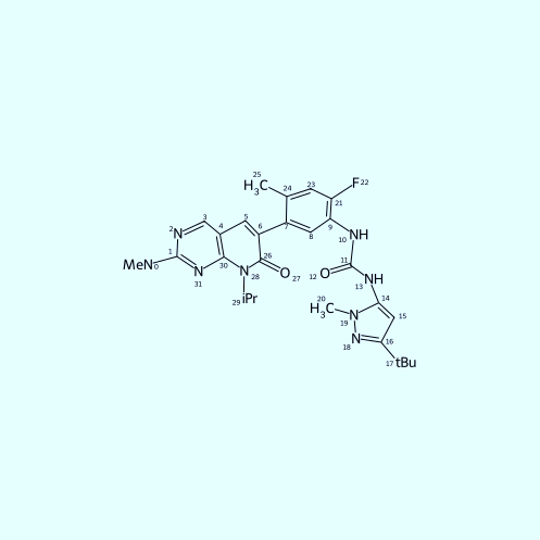 CNc1ncc2cc(-c3cc(NC(=O)Nc4cc(C(C)(C)C)nn4C)c(F)cc3C)c(=O)n(C(C)C)c2n1